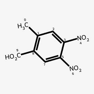 Cc1cc([N+](=O)[O-])c([N+](=O)[O-])cc1C(=O)O